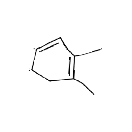 CC1=C(C)C[C][C]=C1